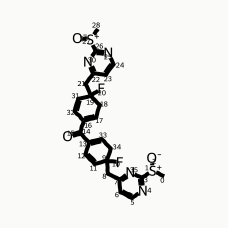 C[S+]([O-])c1nccc(CC2(F)C=CC(C(=O)C3=CCC(F)(Cc4ccnc([S+](C)[O-])n4)C=C3)=CC2)n1